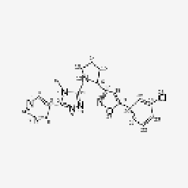 Cn1c(-c2cncnc2)nnc1N1CCCC1c1cc(-c2cccc(Cl)c2)on1